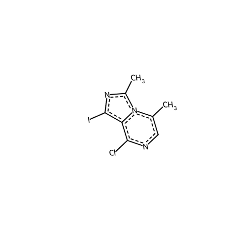 Cc1cnc(Cl)c2c(I)nc(C)n12